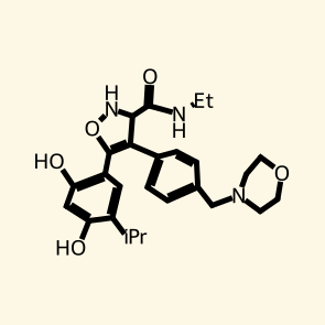 CCNC(=O)C1NOC(c2cc(C(C)C)c(O)cc2O)=C1c1ccc(CN2CCOCC2)cc1